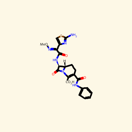 CON=C(C(=O)N[C@@H]1C(=O)N2C(C(=O)O)=C(C(=O)Nc3ccccc3)CC[C@@H]12)c1csc(N)n1